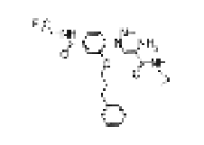 C=NN(/C=C(\N)C(=O)NC1CC1)c1ccc(C(=O)NCC(F)(F)F)cc1OCCCc1ccccc1